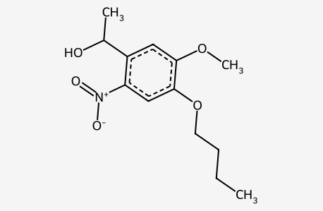 CCCCOc1cc([N+](=O)[O-])c(C(C)O)cc1OC